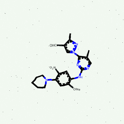 COc1cc(N2CCCCC2)c([N+](=O)[O-])cc1Nc1ncc(C)c(-n2cc(C=O)c(C)n2)n1